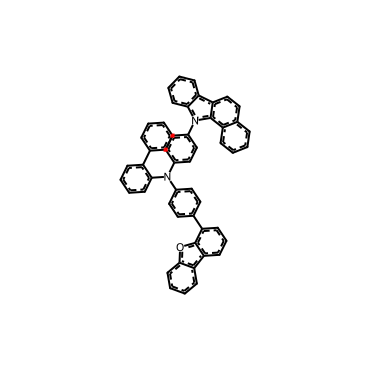 c1ccc(-c2ccccc2N(c2ccc(-c3cccc4c3oc3ccccc34)cc2)c2ccc(-n3c4ccccc4c4ccc5ccccc5c43)cc2)cc1